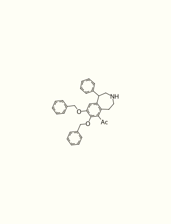 CC(=O)c1c2c(cc(OCc3ccccc3)c1OCc1ccccc1)C(c1ccccc1)CNCC2